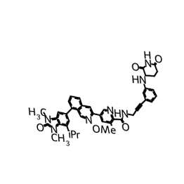 COc1cc(-c2cc3cccc(-c4cc(C(C)C)c5c(c4)n(C)c(=O)n5C)c3cn2)cnc1C(=O)NCC#Cc1cccc(NC2CCC(=O)NC2=O)c1